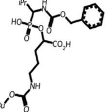 CC(C)C(NC(=O)OCc1ccccc1)P(=O)(O)OC(CCCNC(=O)OC(C)(C)C)C(=O)O